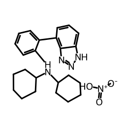 C1CCC(NC2CCCCC2)CC1.Cc1ccccc1-c1cccc2[nH]nnc12.O=[N+]([O-])O